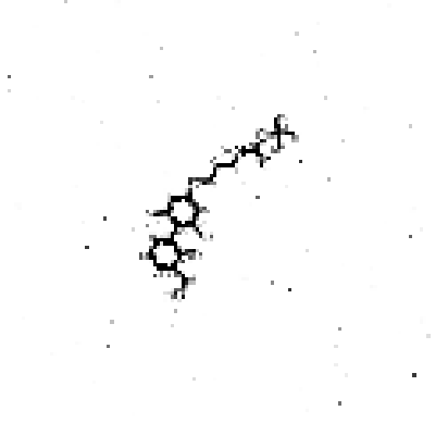 Cc1cc(OCCCNC(=O)OC(C)(C)C)cc(C)c1-c1cccc(CO)c1C